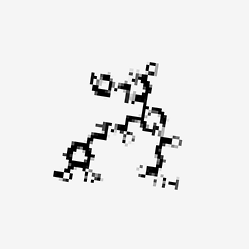 COc1ccc(CCNC(=O)CC2CN(C(=O)CCC(=O)O)CCN2c2cc(Cl)nc(-n3ccnc3)n2)cc1OC